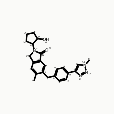 Cc1cc2c(cc1Cc1ccc(-c3cn(C)nn3)cc1)C(=O)N(C1CCCC1O)C2